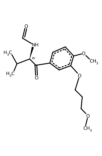 COCCCOc1cc(C(=O)[C@H](NC=O)C(C)C)ccc1OC